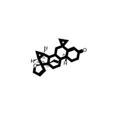 CC[C@]12CCC3C(CC4(CC4)C4=CC(=O)CC[C@@H]43)C1[C@@H]1C[C@@H]1[C@@]21C=CCO1